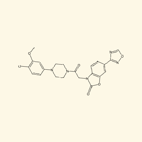 COc1cc(N2CCN(C(=O)Cn3c(=O)oc4cc(-c5ncon5)ccc43)CC2)ccc1Cl